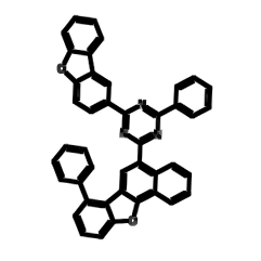 c1ccc(-c2nc(-c3ccc4oc5ccccc5c4c3)nc(-c3cc4c(oc5cccc(-c6ccccc6)c54)c4ccccc34)n2)cc1